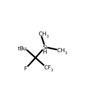 C[SiH](C)C(F)(C(C)(C)C)C(F)(F)F